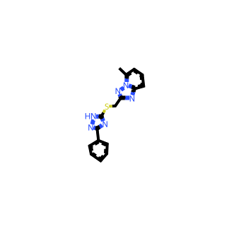 Cc1cccc2nc(CSc3nc(-c4ccccc4)n[nH]3)nn12